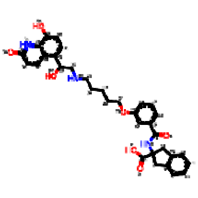 O=C(NC1(C(=O)O)Cc2ccccc2C1)c1cccc(OCCCCCNCC(O)c2ccc(O)c3[nH]c(=O)ccc23)c1